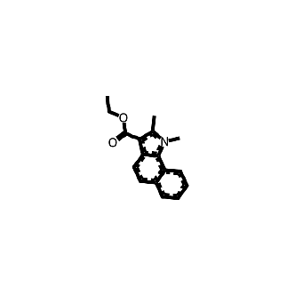 CCOC(=O)c1c(C)n(C)c2c1ccc1ccccc12